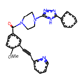 COc1ccc(C(=O)N2CCN(c3nnc(-c4ccccc4)[nH]3)CC2)cc1C#Cc1ccccn1